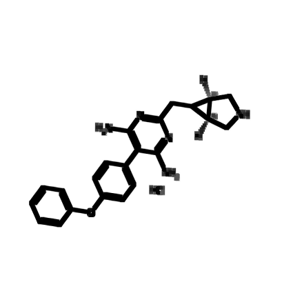 Cl.Nc1nc(CC2[C@H]3CNC[C@@H]23)nc(N)c1-c1ccc(Oc2ccccc2)cc1